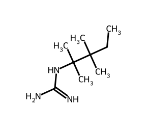 CCC(C)(C)C(C)(C)NC(=N)N